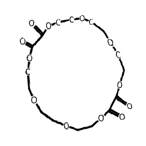 O=C1OCCOCCOCCOC(=O)C(=O)OCCOCCOCCOC1=O